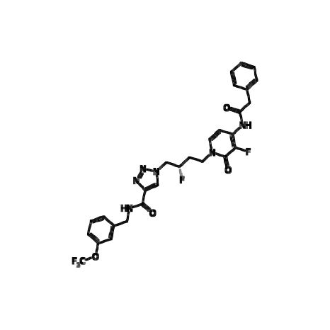 O=C(Cc1ccccc1)Nc1ccn(CC[C@H](F)Cn2cc(C(=O)NCc3cccc(OC(F)(F)F)c3)nn2)c(=O)c1F